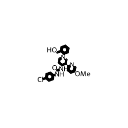 COc1ccc([C@@H]2CN(c3ccccc3CO)CC[C@H]2NC(=O)Nc2ccc(Cl)cc2)nc1